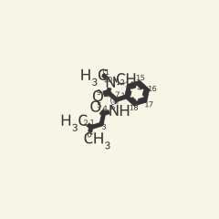 CC(C)CC(=O)N[C@H](C(=O)N(C)C)c1ccccc1